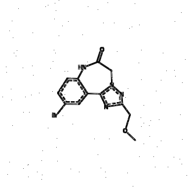 COCc1nc2n(n1)CC(=O)Nc1ccc(Br)cc1-2